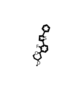 COC1CCOC(c2cccc(-c3ccc(-c4ccccc4)s3)c2F)C1